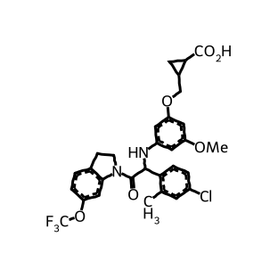 COc1cc(NC(C(=O)N2CCc3ccc(OC(F)(F)F)cc32)c2ccc(Cl)cc2C)cc(OCC2CC2C(=O)O)c1